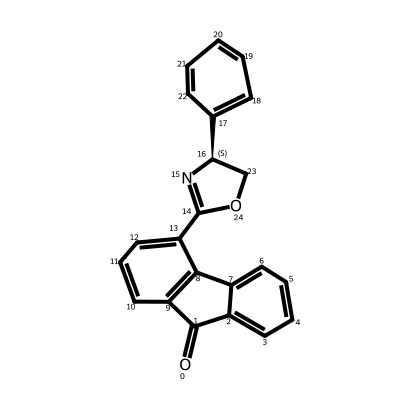 O=C1c2ccccc2-c2c1cccc2C1=N[C@@H](c2ccccc2)CO1